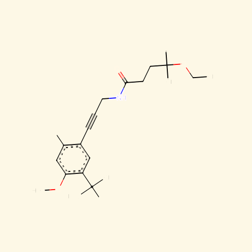 CCOC(C)(C)CCC(=O)NCC#Cc1cc(C(C)(C)C)c(OC)cc1C